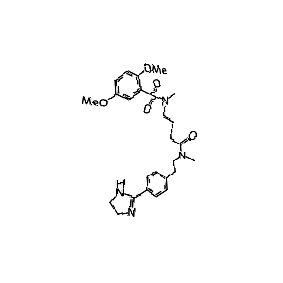 COc1ccc(OC)c(S(=O)(=O)N(C)CCCC(=O)N(C)CCc2ccc(C3=NCCN3)cc2)c1